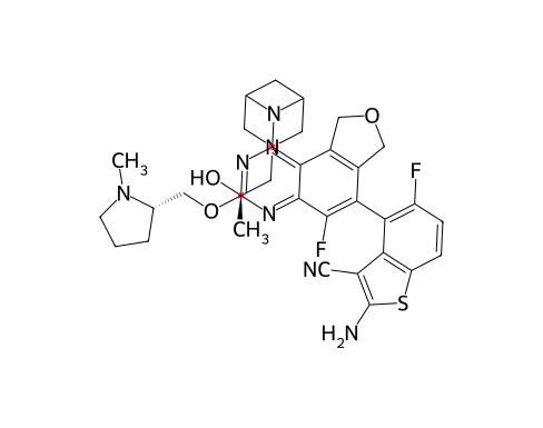 C[C@@H](O)CN1CC2CC(C1)N2c1nc(OC[C@@H]2CCCN2C)nc2c(F)c(-c3c(F)ccc4sc(N)c(C#N)c34)c3c(c12)COC3